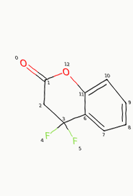 O=C1CC(F)(F)c2ccccc2O1